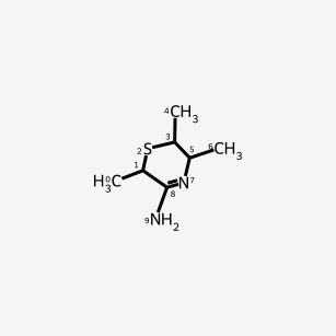 CC1SC(C)C(C)N=C1N